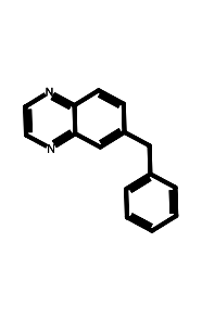 c1ccc(Cc2ccc3nccnc3c2)cc1